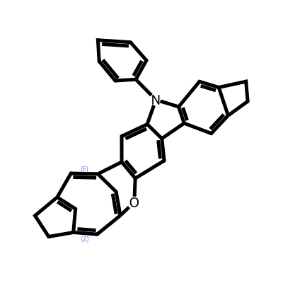 C1=C2/C=C3C=C(/C=C1/CC2)Oc1cc2c4cc5c(cc4n(-c4ccccc4)c2cc1\3)CC5